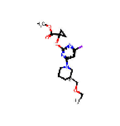 CCOC[C@H]1CCCN(c2cc(I)nc(OC3(C(=O)OC)CC3)n2)C1